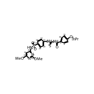 CCCOc1ccc(C(=O)NC(=S)Nc2ccc(S(=O)(=O)Nc3cc(OC)nc(OC)n3)cc2)cc1